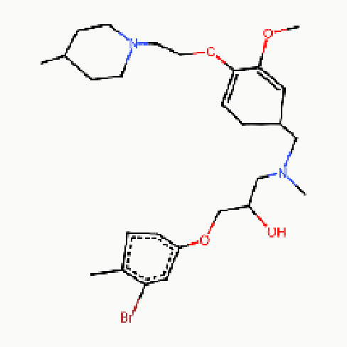 COC1=CC(CN(C)CC(O)COc2ccc(C)c(Br)c2)CC=C1OCCN1CCC(C)CC1